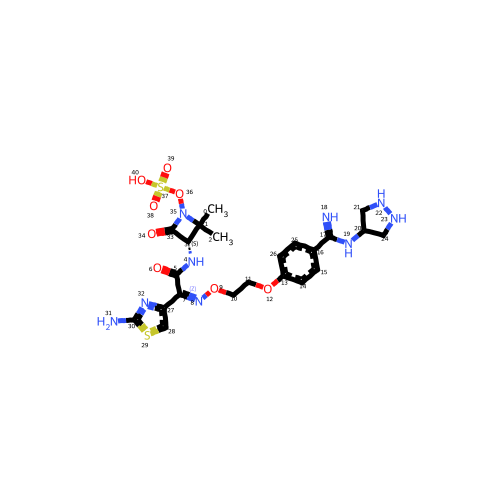 CC1(C)[C@H](NC(=O)/C(=N\OCCOc2ccc(C(=N)NC3CNNC3)cc2)c2csc(N)n2)C(=O)N1OS(=O)(=O)O